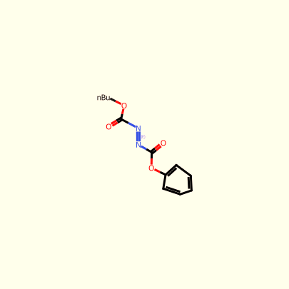 CCCCOC(=O)/N=N/C(=O)Oc1ccccc1